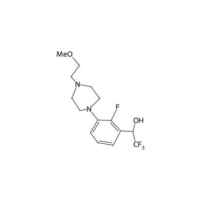 COCCN1CCN(c2cccc(C(O)C(F)(F)F)c2F)CC1